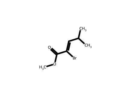 COC(=O)/C(Br)=C/C(C)C